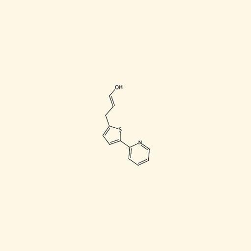 O/C=C/Cc1ccc(-c2ccccn2)s1